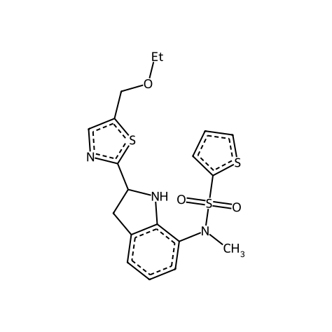 CCOCc1cnc(C2Cc3cccc(N(C)S(=O)(=O)c4cccs4)c3N2)s1